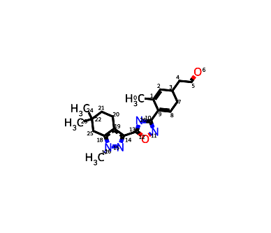 CC1=CC(CC=O)CC=C1c1noc(-c2nn(C)c3c2CCC(C)(C)C3)n1